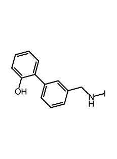 Oc1ccccc1-c1cccc(CNI)c1